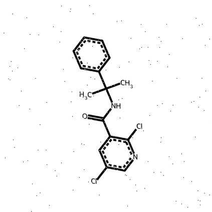 CC(C)(NC(=O)c1cc(Cl)cnc1Cl)c1ccccc1